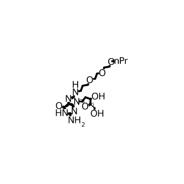 CCCOCCOCCOCCCNc1nc2c(=O)[nH]c(N)nc2n1[C@H]1CC(O)[C@@H](CO)O1